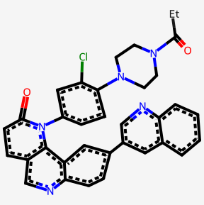 CCC(=O)N1CCN(c2ccc(-n3c(=O)ccc4cnc5ccc(-c6cnc7ccccc7c6)cc5c43)cc2Cl)CC1